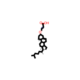 CC(C)CCC[C@@H](C)[C@H]1CCC2C3CC=C4C[C@@H](OC/C=C/C(=O)O)CC[C@]4(C)C3CC[C@@]21C